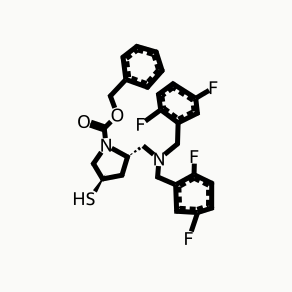 O=C(OCc1ccccc1)N1C[C@H](S)C[C@H]1CN(Cc1cc(F)ccc1F)Cc1cc(F)ccc1F